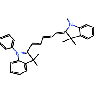 CN1/C(=C/C=C/C=C/C2=[N+](c3ccccc3)c3ccccc3C2(C)C)C(C)(C)c2ccccc21